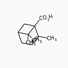 CC1=CCC2CC1(C(=O)O)C2(C)C